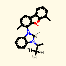 [2H]C([2H])([2H])C(C)N1c2ccccc2N(c2c(C)ccc3c2oc2c(C)cccc23)[C@@H]1C